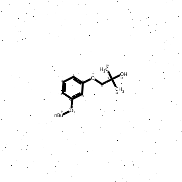 CCCCOc1cccc(OCC(C)(C)O)c1